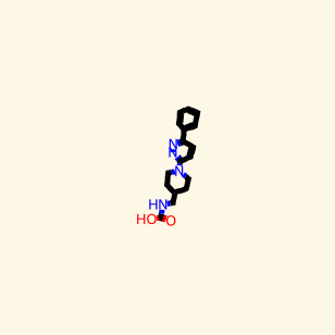 O=C(O)NCC1CCN(c2ccc(-c3ccccc3)nn2)CC1